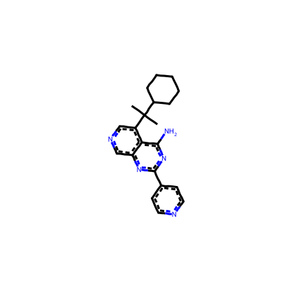 CC(C)(c1cncc2nc(-c3ccncc3)nc(N)c12)C1CCCCC1